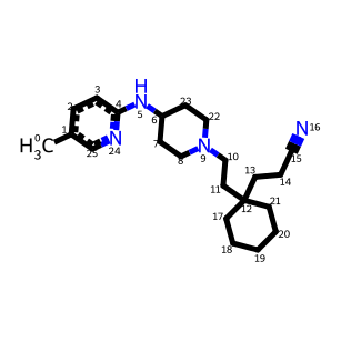 Cc1ccc(NC2CCN(CCC3(CCC#N)CCCCC3)CC2)nc1